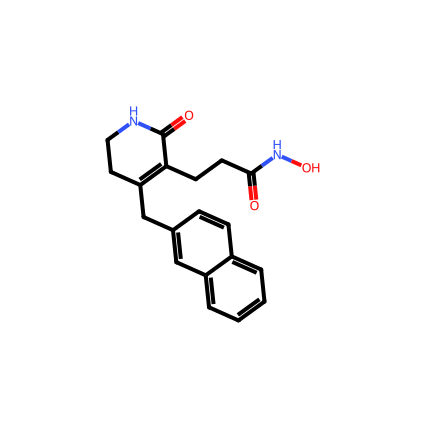 O=C(CCC1=C(Cc2ccc3ccccc3c2)CCNC1=O)NO